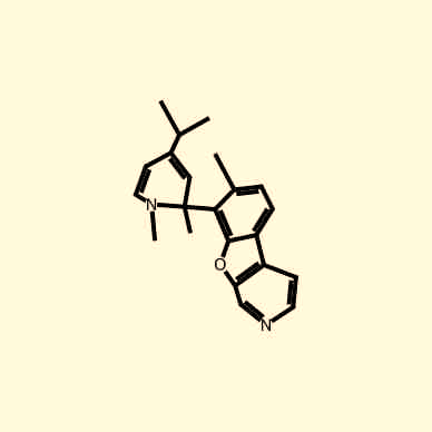 Cc1ccc2c(oc3cnccc32)c1C1(C)C=C(C(C)C)C=CN1C